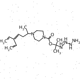 C=CC(C=C)=CCC(C)N1CCN(C(=O)OC(C)(C)NNNN)CC1